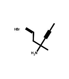 Br.C=CCC(C)(N)C#CC